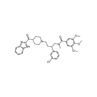 COc1cc(C(=O)N(C)CC(CCN2CCC(C(=O)c3nc4ccccc4[nH]3)CC2)c2cccc(Cl)c2)cc(OC)c1OC